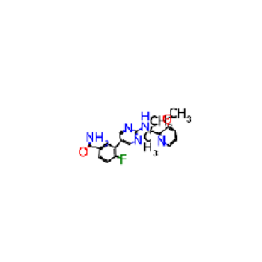 COc1cccnc1C(C)(C)Nc1ncc(-c2cc(C(N)=O)ccc2F)cn1